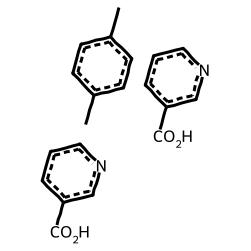 Cc1ccc(C)cc1.O=C(O)c1cccnc1.O=C(O)c1cccnc1